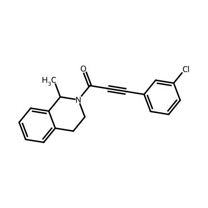 CC1c2ccccc2CCN1C(=O)C#Cc1cccc(Cl)c1